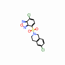 O=S(=O)(c1ccc(Cl)c2nonc12)N1CCc2cc(Cl)ccc2C1